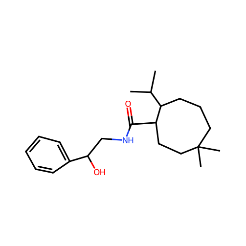 CC(C)C1CCCC(C)(C)CCC1C(=O)NCC(O)c1ccccc1